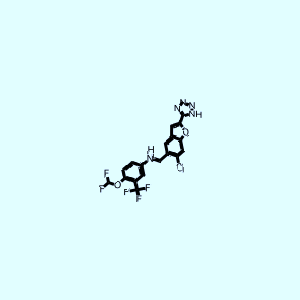 FC(F)Oc1ccc(NCc2cc3cc(-c4nnn[nH]4)oc3cc2Cl)cc1C(F)(F)F